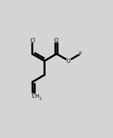 C=CCC(=CCl)C(=O)OF